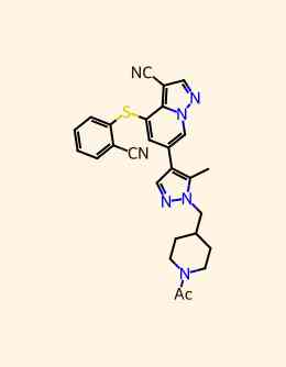 CC(=O)N1CCC(Cn2ncc(-c3cc(Sc4ccccc4C#N)c4c(C#N)cnn4c3)c2C)CC1